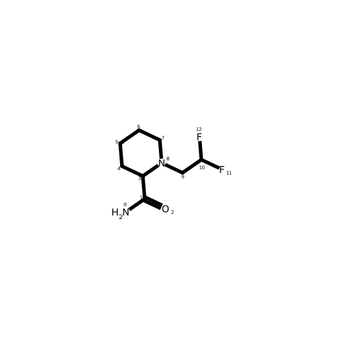 NC(=O)C1C[CH]CCN1CC(F)F